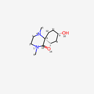 CN1CCN(C)[C@]2(CC[C@@H](O)CC2)C1=O